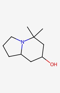 CC1(C)CC(O)CC2CCCN21